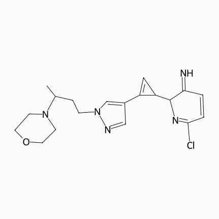 CC(CCn1cc(C2=CC2C2N=C(Cl)C=CC2=N)cn1)N1CCOCC1